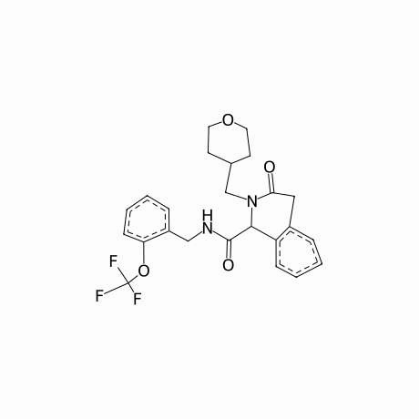 O=C(NCc1ccccc1OC(F)(F)F)C1c2ccccc2CC(=O)N1CC1CCOCC1